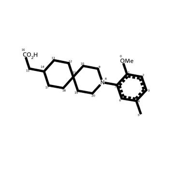 COc1ccc(C)cc1N1CCC2(CCC(CC(=O)O)CC2)CC1